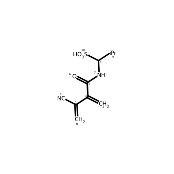 C=C(C#N)C(=C)C(=O)NC(C(C)C)S(=O)(=O)O